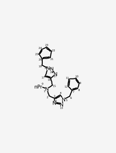 CCCN(Cc1cn(Cc2ccccc2)nn1)Cc1cn(Cc2ccccc2)nn1